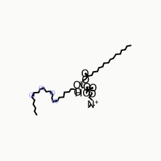 CCCCC/C=C\C/C=C\C/C=C\C/C=C\CCCCCC(=O)O[C@H](COC(=O)CCCCCCCCCCCCCCC)COP(=O)(O)OCC[N+](C)(C)C